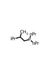 CCCP(CCC)CC(C)C(C)C